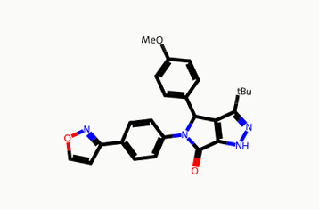 COc1ccc(C2c3c(C(C)(C)C)n[nH]c3C(=O)N2c2ccc(-c3ccon3)cc2)cc1